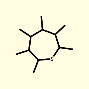 CC1SC(C)C(C)C(C)C(C)C1C